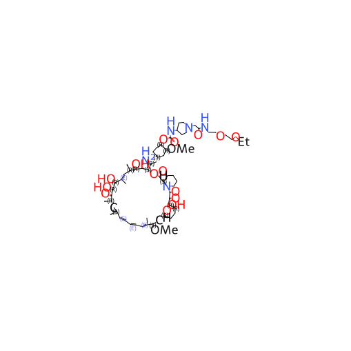 CCOCCOCCNC(=O)CN1CCC(NC(=O)O[C@@H]2CC[C@@H](C[C@@H](N)[C@@H]3C[C@@H](O)[C@H](C)/C=C(\C)[C@@H](O)[C@@H](O)C(=O)[C@H](C)C[C@H](C)/C=C/C=C/C=C(\C)[C@@H](OC)C[C@@H]4CC[C@@H](C)[C@@](O)(O4)C(=O)C(=O)N4CCCC[C@H]4C(=O)O3)C[C@H]2OC)CC1